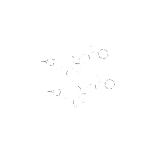 Cc1oc(=O)oc1COC(=O)[C@@H]1N2C(=O)[C@@H](NC(=O)[C@H](N)c3ccccc3)[C@H]2SC1(C)C.Cc1oc(=O)oc1COC(=O)[C@@H]1N2C(=O)[C@@H](NC(=O)[C@H](N)c3ccccc3)[C@H]2SC1(C)C